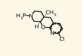 C[C@@]12CCN(P)C[C@@H]1Oc1nc(Cl)ccc1C2